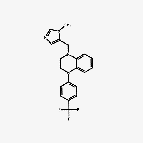 Cn1cncc1CN1CCN(c2ccc(C(F)(F)F)cc2)c2ccccc21